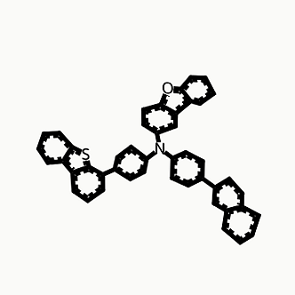 c1ccc2cc(-c3ccc(N(c4ccc(-c5cccc6c5sc5ccccc56)cc4)c4ccc5oc6ccccc6c5c4)cc3)ccc2c1